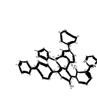 CC1C(c2ncccn2)=CC=CC1c1c(S)cc(-c2ccc(-c3ccccc3)cc2)c2c1c1ccc(-c3ccccc3)cc1n2-c1ccccc1